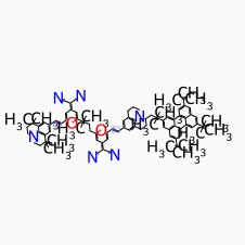 CC(C)(CCC1=CC(=C(C#N)C#N)C=C(/C=C/c2cc3c4c(c2)CCC(CC(C)(C)c2cc5cc(C(C)(C)C)cc6c7cc(C(C)(C)C)cc8cc(C(C)(C)C)cc(c(c2)c56)c87)N4CCC3)O1)C1=CC(=C(C#N)C#N)C=C(/C=C/c2cc3c4c(c2)C(C)(C)CCN4CCC3(C)C)O1